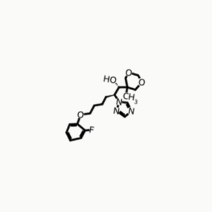 CC1([C@@H](O)[C@H](CCCCOc2ccccc2F)n2cncn2)COCOC1